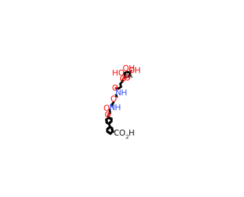 C[C@@H]1OC(OCCCC(=O)NCCOCCNC(=O)COc2ccc(-c3cccc(C(=O)O)c3)cc2)[C@@H](O)C(O)C1O